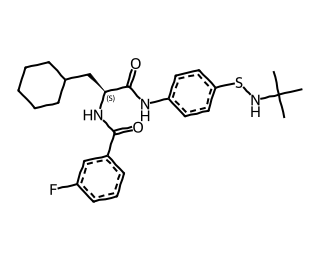 CC(C)(C)NSc1ccc(NC(=O)[C@H](CC2CCCCC2)NC(=O)c2cccc(F)c2)cc1